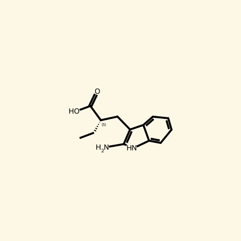 CC[C@@H](Cc1c(N)[nH]c2ccccc12)C(=O)O